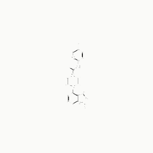 Cc1ccc(NC(=O)N2CCN(c3cccc4c3cnn4C)CC2)nc1